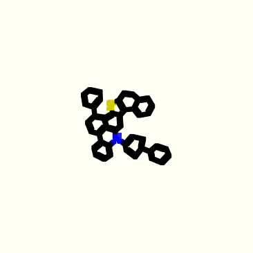 c1ccc(-c2ccc(-c3ccccc3N(c3ccc(-c4ccccc4)cc3)c3ccc4sc5ccc6ccccc6c5c4c3)cc2)cc1